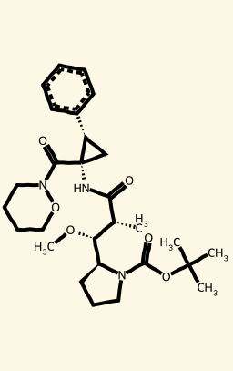 CO[C@H]([C@@H](C)C(=O)N[C@@]1(C(=O)N2CCCCO2)C[C@H]1c1ccccc1)[C@@H]1CCCN1C(=O)OC(C)(C)C